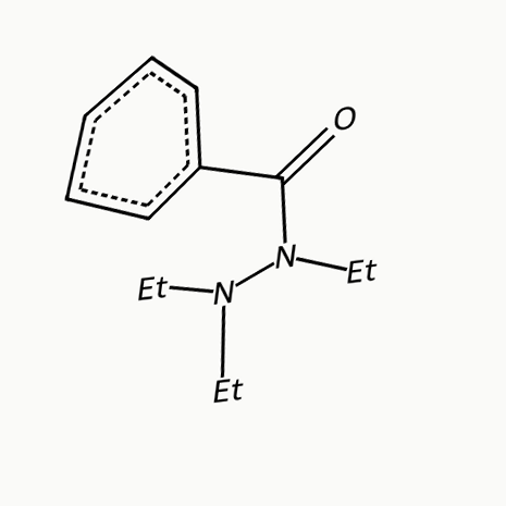 CCN(CC)N(CC)C(=O)c1ccccc1